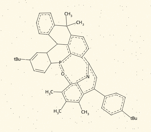 Cc1c(C)c2op3c4c5c(ccc4c4cc(-c6ccc(C(C)(C)C)cc6)c(c1C)c2n4)C(C)(C)c1ccccc1C5C1C=C(C(C)(C)C)C=CC13